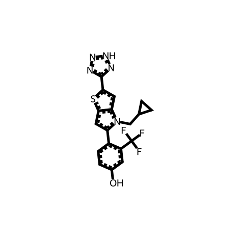 Oc1ccc(-c2cc3sc(-c4nn[nH]n4)cc3n2CC2CC2)c(C(F)(F)F)c1